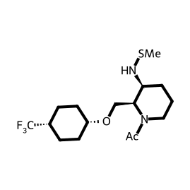 CSN[C@H]1CCCN(C(C)=O)[C@H]1CO[C@H]1CC[C@@H](C(F)(F)F)CC1